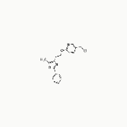 Cc1oc(-c2ccccc2)nc1CCOc1ccc(CCl)cn1